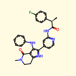 C[C@@H](C(=O)Nc1cc(-c2[nH]c3c(c2Nc2ccccc2)C(=O)N(C)CC3)ccn1)c1ccc(F)cc1